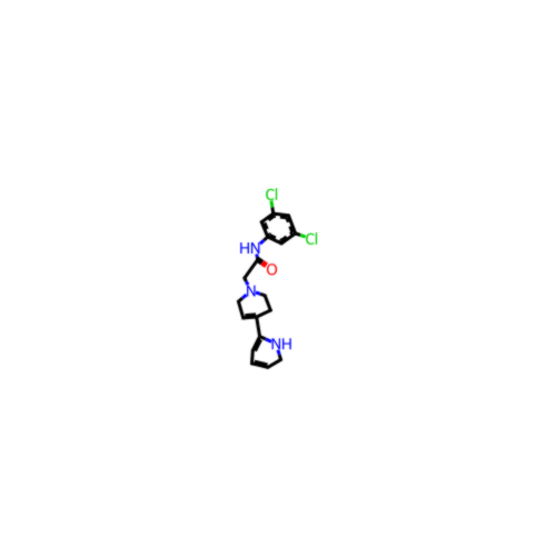 O=C(CN1CC=C(C2=CC=CCN2)CC1)Nc1cc(Cl)cc(Cl)c1